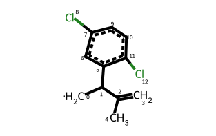 [CH2]C(C(=C)C)c1cc(Cl)ccc1Cl